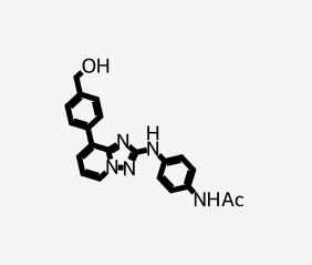 CC(=O)Nc1ccc(Nc2nc3c(-c4ccc(CO)cc4)cccn3n2)cc1